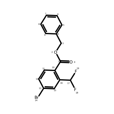 O=C(OCc1ccccc1)c1ccc(Br)cc1C(F)F